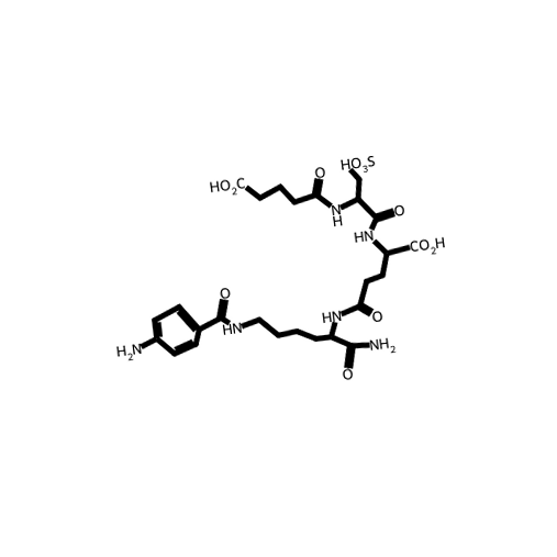 NC(=O)C(CCCCNC(=O)c1ccc(N)cc1)NC(=O)CCC(NC(=O)C(CS(=O)(=O)O)NC(=O)CCCC(=O)O)C(=O)O